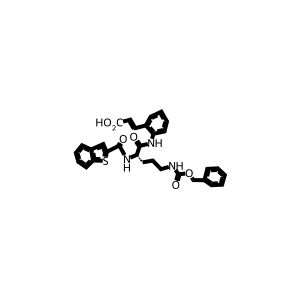 O=C(O)C=Cc1ccccc1NC(=O)[C@H](CCCNC(=O)OCc1ccccc1)NC(=O)c1cc2ccccc2s1